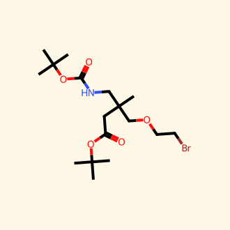 CC(CNC(=O)OC(C)(C)C)(COCCBr)CC(=O)OC(C)(C)C